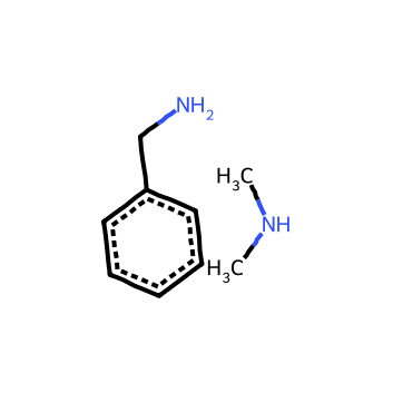 CNC.NCc1ccccc1